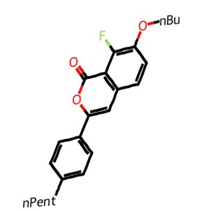 CCCCCc1ccc(-c2cc3ccc(OCCCC)c(F)c3c(=O)o2)cc1